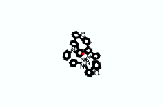 c1ccc(-c2nc(-c3cccc4oc5ccccc5c34)nc(-n3c4ccccc4c4cc(-c5ccc6oc7cccc(-c8ccc9c(c8)c8ccccc8n9-c8ccccc8)c7c6c5)ccc43)n2)cc1